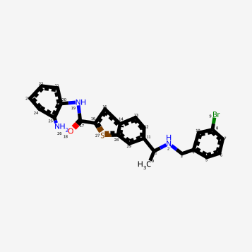 CC(NCc1cccc(Br)c1)c1ccc2cc(C(=O)Nc3ccccc3N)sc2c1